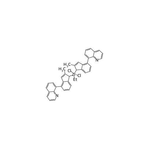 C[CH2][Zr]([Cl])([Cl])([CH]1C(C)=Cc2c(-c3cccc4cccnc34)cccc21)[CH]1C(C)=Cc2c(-c3cccc4cccnc34)cccc21